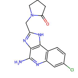 Nc1nc2cc(Cl)ccc2c2[nH]c(CN3CCCC3=O)nc12